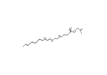 CCCCCCCOCCOCCOCCCC(=O)OCC(C)C